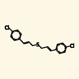 Clc1ccc(C=CCSCC=Cc2ccc(Cl)cc2)cc1